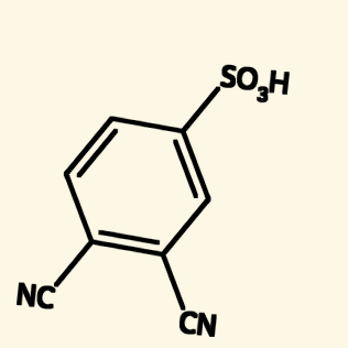 N#Cc1ccc(S(=O)(=O)O)cc1C#N